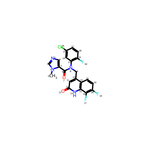 Cn1cncc1C(=O)N(Cc1cc(=O)[nH]c2c(F)c(F)ccc12)c1cc(Cl)ccc1F